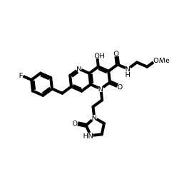 COCCNC(=O)c1c(O)c2ncc(Cc3ccc(F)cc3)cc2n(CCN2CCNC2=O)c1=O